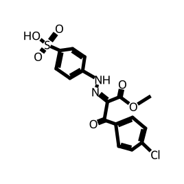 COC(=O)/C(=N\Nc1ccc(S(=O)(=O)O)cc1)C(=O)c1ccc(Cl)cc1